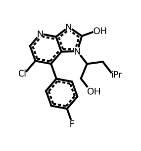 CC(C)CC(CO)n1c(O)nc2ncc(Cl)c(-c3ccc(F)cc3)c21